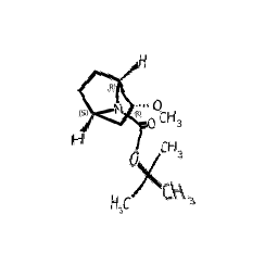 CO[C@@H]1C[C@@H]2CC[C@H]1N2C(=O)OC(C)(C)C